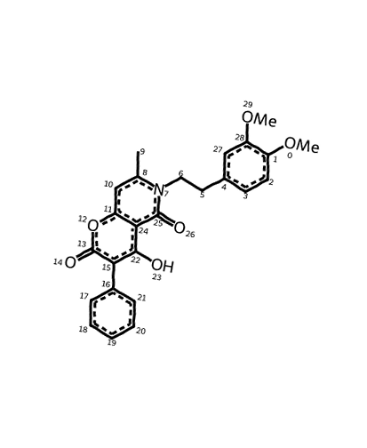 COc1ccc(CCn2c(C)cc3oc(=O)c(-c4ccccc4)c(O)c3c2=O)cc1OC